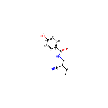 CCC(C#N)CNC(=O)c1ccc(O)cc1